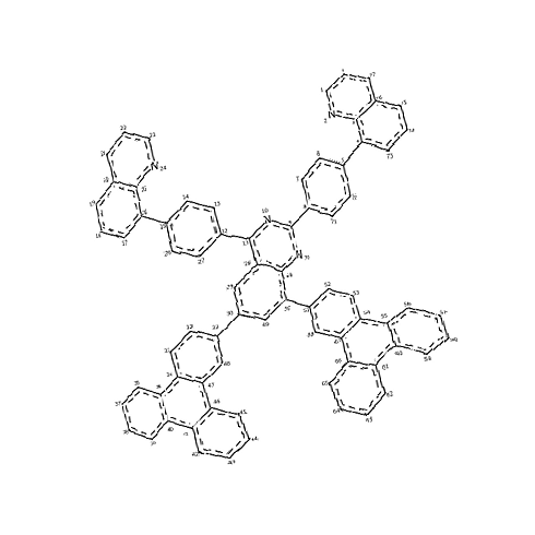 c1cnc2c(-c3ccc(-c4nc(-c5ccc(-c6cccc7cccnc67)cc5)c5cc(-c6ccc7c8ccccc8c8ccccc8c7c6)cc(-c6ccc7c8ccccc8c8ccccc8c7c6)c5n4)cc3)cccc2c1